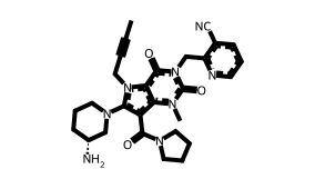 CC#CCn1c(N2CCC[C@@H](N)C2)c(C(=O)N2CCCC2)c2c1c(=O)n(Cc1ncccc1C#N)c(=O)n2C